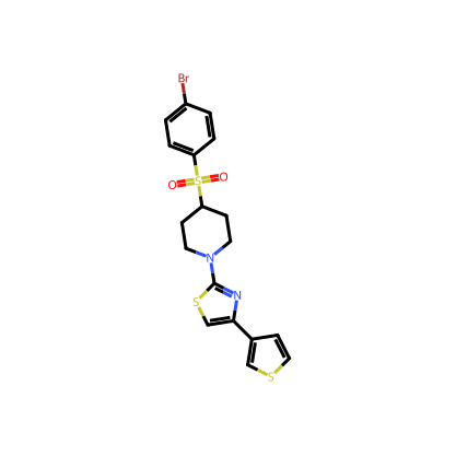 O=S(=O)(c1ccc(Br)cc1)C1CCN(c2nc(-c3ccsc3)cs2)CC1